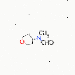 CN([C]=O)C1CCOCC1